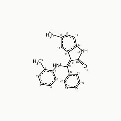 Cc1ccccc1NC(=C1C(=O)Nc2ccc(N)cc21)c1ccccc1